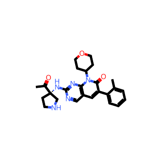 CC(=O)[C@]1(Nc2ncc3cc(-c4ccccc4C)c(=O)n(C4CCOCC4)c3n2)CCNC1